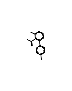 C=C(C)c1c(C)cccc1-c1ccc(C)cc1